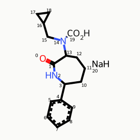 O=C1NC(c2ccccc2)CCCC1N(CC1CC1)C(=O)O.[NaH]